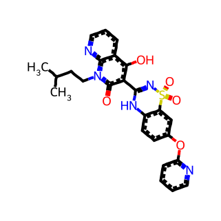 CC(C)CCn1c(=O)c(C2=NS(=O)(=O)c3cc(Oc4ccccn4)ccc3N2)c(O)c2cccnc21